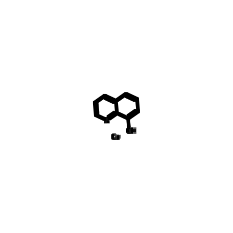 Oc1cccc2cccnc12.[Ca]